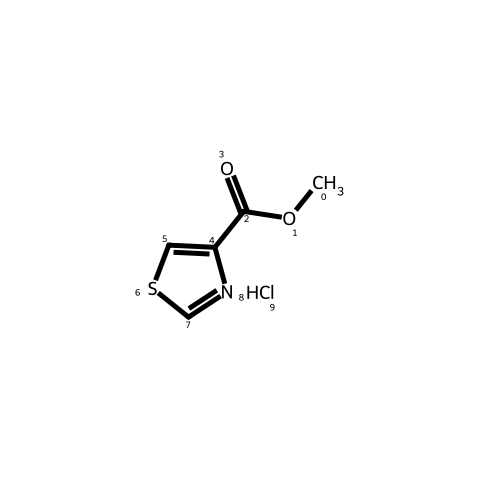 COC(=O)c1cscn1.Cl